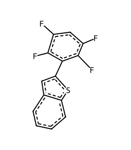 Fc1cc(F)c(F)c(-c2cc3ccccc3s2)c1F